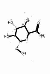 NC(=O)C1O[C@H](CO)[C@@H](O)[C@H](O)[C@H]1O